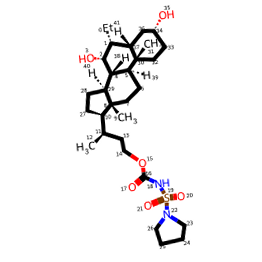 CC[C@H]1[C@@H](O)[C@@H]2[C@H](CC[C@]3(C)[C@@H]([C@H](C)CCOC(=O)NS(=O)(=O)N4CCCC4)CC[C@@H]23)[C@@]2(C)CC[C@@H](O)C[C@@H]12